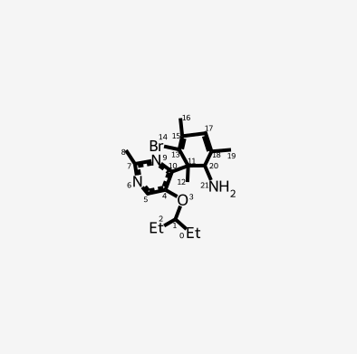 CCC(CC)Oc1cnc(C)nc1C1(C)C(Br)=C(C)C=C(C)C1N